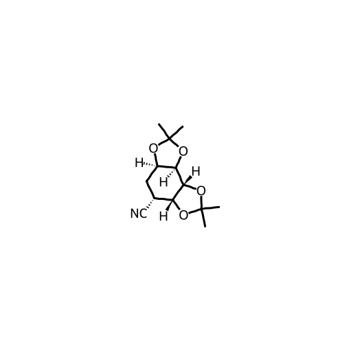 CC1(C)O[C@@H]2[C@H](O1)[C@H](C#N)C[C@H]1OC(C)(C)O[C@@H]21